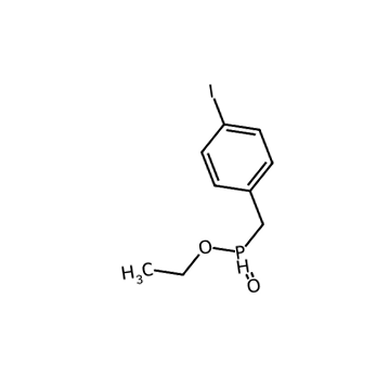 CCO[PH](=O)Cc1ccc(I)cc1